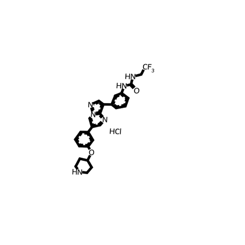 Cl.O=C(NCC(F)(F)F)Nc1cccc(-c2cnn3cc(-c4cccc(OC5CCNCC5)c4)cnc23)c1